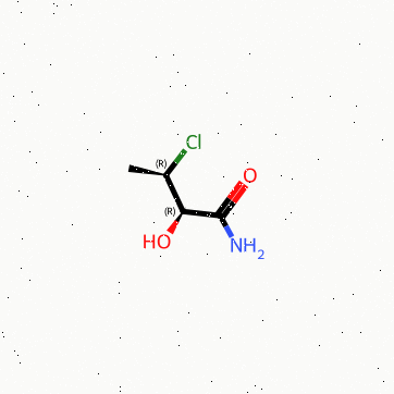 C[C@@H](Cl)[C@H](O)C(N)=O